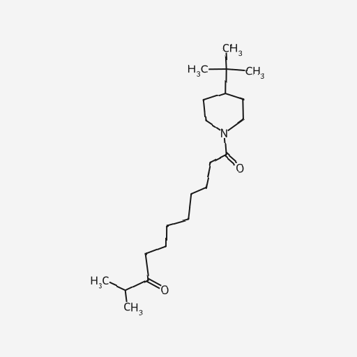 CC(C)C(=O)CCCCCCCC(=O)N1CCC(C(C)(C)C)CC1